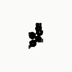 OC1CC2C=C(c3c[nH]c(-c4ccc(F)cc4)c3-c3ccncc3)CCN2C1